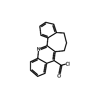 O=C(Cl)c1c2c(nc3ccccc13)-c1ccccc1CCC2